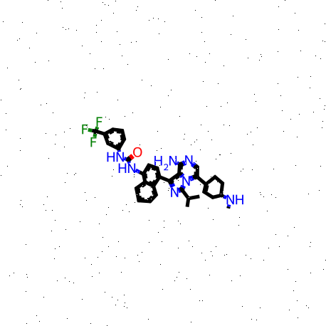 CNC1CC=C(c2cnc(N)c3c(-c4ccc(NC(=O)Nc5cccc(C(F)(F)F)c5)c5ccccc45)nc(C(C)C)n23)CC1